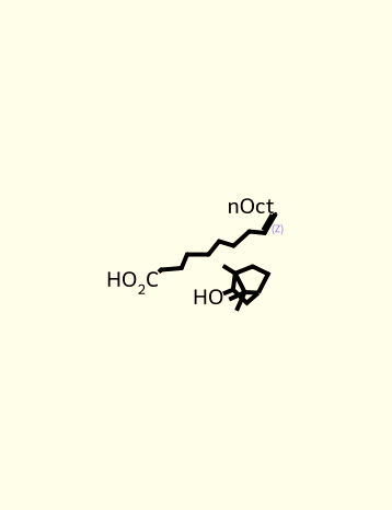 CC1(C)C2CCC1(C)C(O)C2.CCCCCCCC/C=C\CCCCCCCC(=O)O